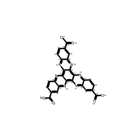 O=C(O)c1ccc2nc3c4nc5ccc(C(=O)Cl)cc5nc4c4nc5ccc(C(=O)Cl)cc5nc4c3nc2c1